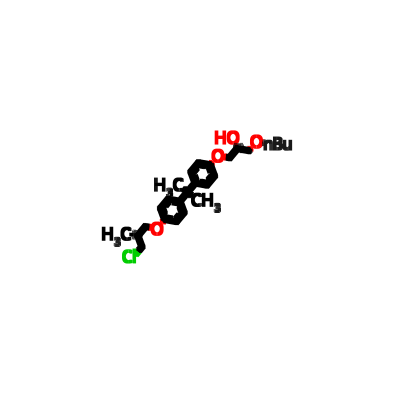 CCCCOC[C@@H](O)COc1ccc(C(C)(C)c2ccc(OC[C@@H](C)CCl)cc2)cc1